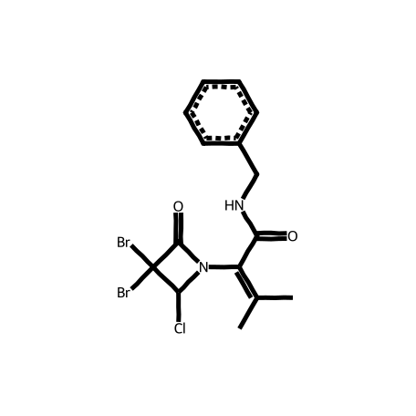 CC(C)=C(C(=O)NCc1ccccc1)N1C(=O)C(Br)(Br)C1Cl